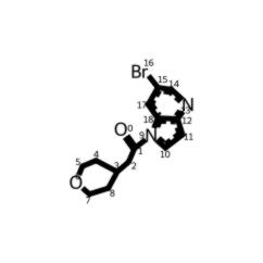 O=C(CC1CCOCC1)n1ccc2ncc(Br)cc21